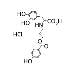 Cl.O=C(OCCCN[C@@H](Cc1ccc(O)c(O)c1)C(=O)O)c1ccc(O)cc1